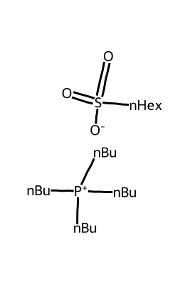 CCCCCCS(=O)(=O)[O-].CCCC[P+](CCCC)(CCCC)CCCC